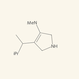 CNC1=C(C(C)C(C)C)CNC1